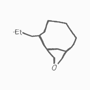 C[CH]C1CCCC2OC12